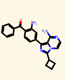 Nc1cc(-c2nc(C3CCC3)n3ccnc(N)c23)ccc1C(=O)c1ccccc1